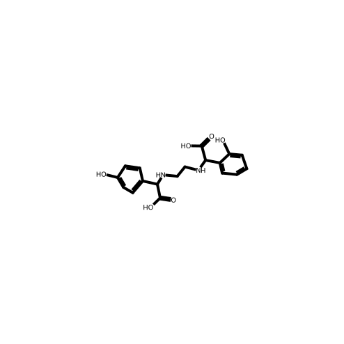 O=C(O)C(NCCNC(C(=O)O)c1ccccc1O)c1ccc(O)cc1